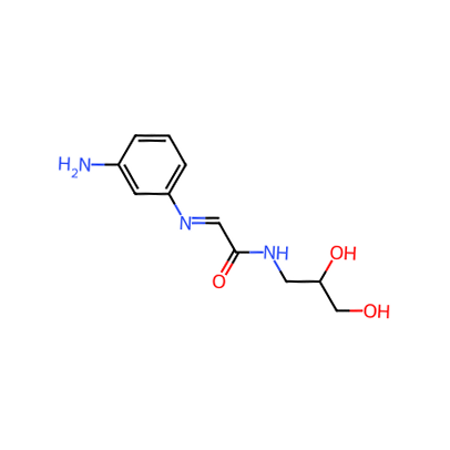 Nc1cccc(/N=C/C(=O)NCC(O)CO)c1